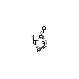 N#Cc1ccc2cc1Oc1cc(cc(OCC3CCCCC3)c1)CN1CCN(CC1=O)Cc1cncn1C2